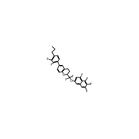 CCCc1ccc(-c2ccc3c(c2)CCC(C(F)(F)Oc2cc(F)c4c(F)c(F)c(F)cc4c2)O3)c(F)c1F